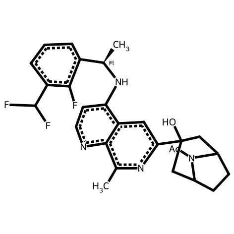 CC(=O)N1C2CCC1CC(O)(c1cc3c(N[C@H](C)c4cccc(C(F)F)c4F)ccnc3c(C)n1)C2